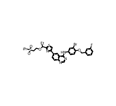 CCC(OCCS(=O)(=O)C(C)C)c1nc(-c2ccc3ncnc(Nc4ccc(OCc5cccc(F)c5)c(Br)c4)c3c2)cs1